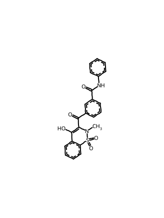 CN1C(C(=O)c2cccc(C(=O)Nc3ccccc3)c2)=C(O)c2ccccc2S1(=O)=O